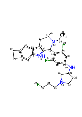 CC1Cc2c([nH]c3cc4c(cc23)CC4)C(c2c(F)cc(NC3CCN(CCCF)C3)cc2F)N1CC(F)(F)F